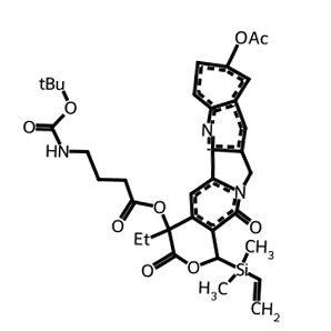 C=C[Si](C)(C)C1OC(=O)C(CC)(OC(=O)CCCNC(=O)OC(C)(C)C)c2cc3n(c(=O)c21)Cc1cc2cc(OC(C)=O)ccc2nc1-3